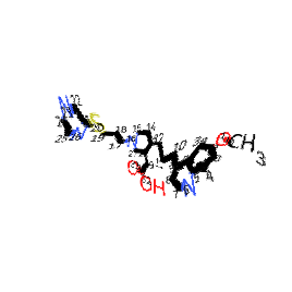 COc1ccc2nccc(CCC[C@@H]3CCN(CCCSc4cnccn4)C[C@@H]3CC(=O)O)c2c1